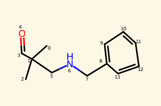 CC(C)(C=O)CNCc1ccccc1